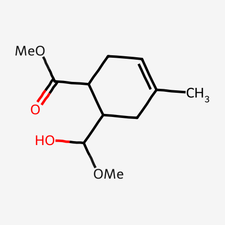 COC(=O)C1CC=C(C)CC1C(O)OC